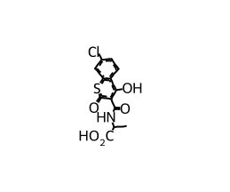 CC(NC(=O)c1c(O)c2ccc(Cl)cc2sc1=O)C(=O)O